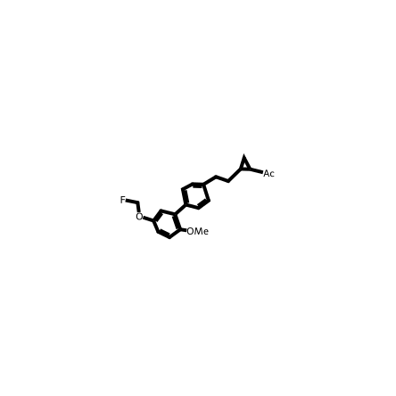 COc1ccc(OCF)cc1-c1ccc(CCC2CC2C(C)=O)cc1